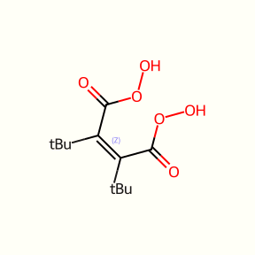 CC(C)(C)/C(C(=O)OO)=C(/C(=O)OO)C(C)(C)C